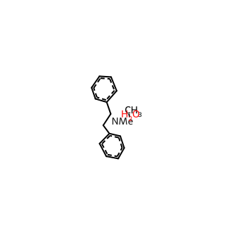 CNC.O.c1ccc(CCc2ccccc2)cc1